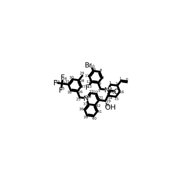 C=CC1C[N+]2(Cc3ccc(Br)cc3F)CCC1CC2[C@H](O)c1cc[n+](Cc2cc(C)cc(C(F)(F)F)c2)c2ccccc12